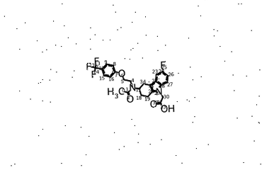 CC(=O)N(CCOc1ccc(C(F)(F)F)cc1)C1CCc2c(c3cc(F)ccc3n2CC(=O)O)C1